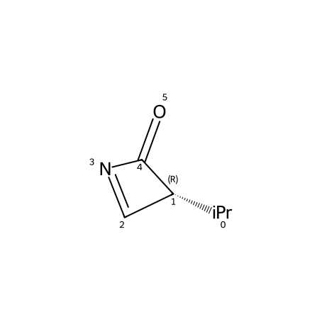 CC(C)[C@@H]1C=NC1=O